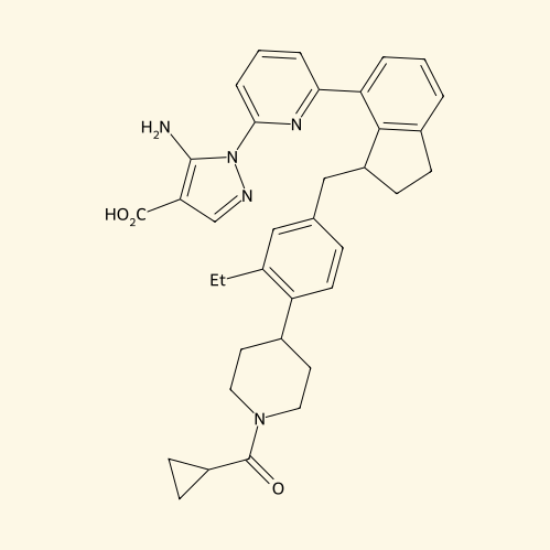 CCc1cc(CC2CCc3cccc(-c4cccc(-n5ncc(C(=O)O)c5N)n4)c32)ccc1C1CCN(C(=O)C2CC2)CC1